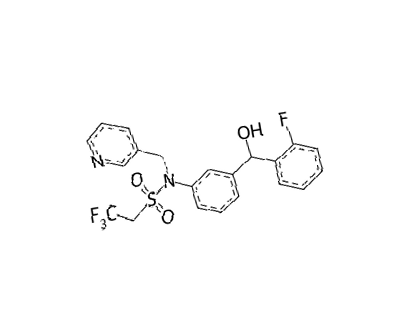 O=S(=O)(CC(F)(F)F)N(Cc1cccnc1)c1cccc(C(O)c2ccccc2F)c1